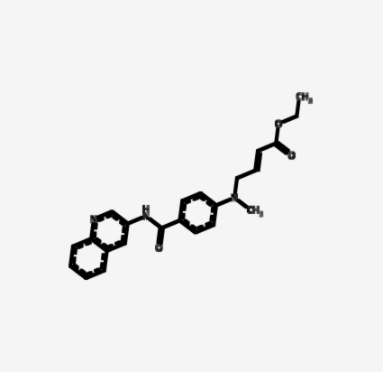 CCOC(=O)C=CCN(C)c1ccc(C(=O)Nc2cnc3ccccc3c2)cc1